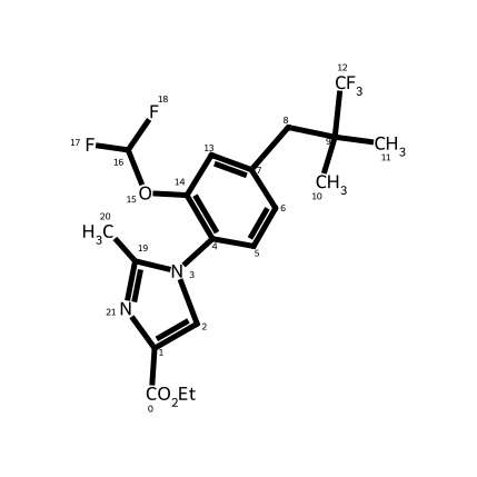 CCOC(=O)c1cn(-c2ccc(CC(C)(C)C(F)(F)F)cc2OC(F)F)c(C)n1